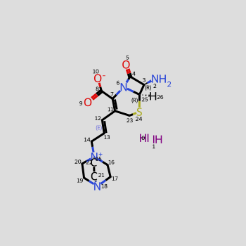 I.I.N[C@@H]1C(=O)N2C(C(=O)[O-])=C(/C=C/C[N+]34CCN(CC3)CC4)CS[C@H]12